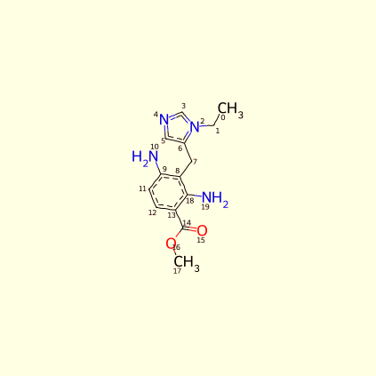 CCn1cncc1Cc1c(N)ccc(C(=O)OC)c1N